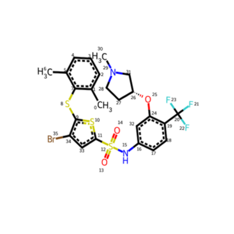 Cc1cccc(C)c1Sc1sc(S(=O)(=O)Nc2ccc(C(F)(F)F)c(O[C@@H]3CCN(C)C3)c2)cc1Br